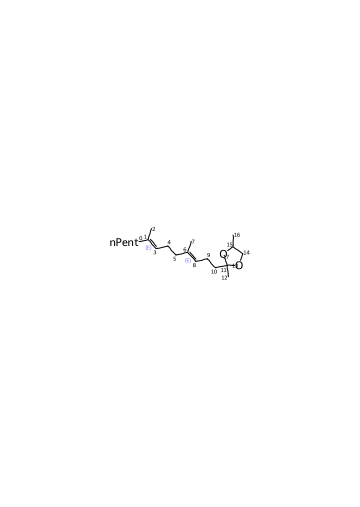 CCCCC/C(C)=C/CC/C(C)=C/CCC1(C)OCC(C)O1